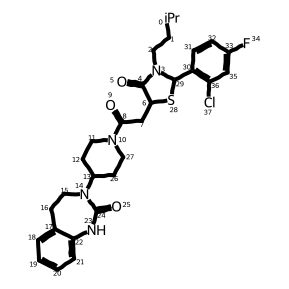 CC(C)CCN1C(=O)C(CC(=O)N2CCC(N3CCc4ccccc4NC3=O)CC2)SC1c1ccc(F)cc1Cl